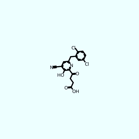 N#Cc1cc(Cc2cc(Cl)ccc2Cl)nc(C(=O)CCC(=O)O)c1O